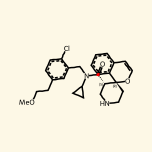 COCCc1ccc(Cl)c(CN(C(=O)[C@H]2CNCC[C@@]23OC=Cc2ccccc23)C2CC2)c1